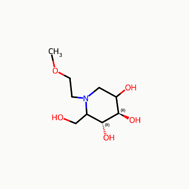 COCCN1CC(O)[C@@H](O)[C@H](O)C1CO